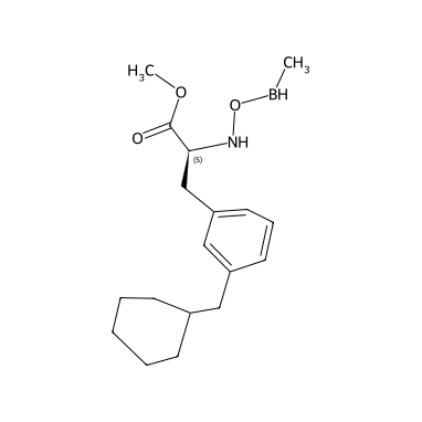 CBON[C@@H](Cc1cccc(CC2CCCCC2)c1)C(=O)OC